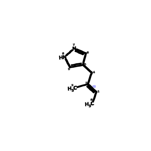 C/[C]=C(\C)Cc1cn[nH]c1